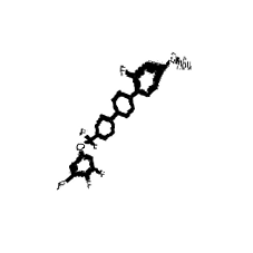 CCCCOc1ccc(C2CCC(C3CCC(C(F)(F)Oc4cc(F)c(F)c(F)c4)CC3)CC2)c(F)c1